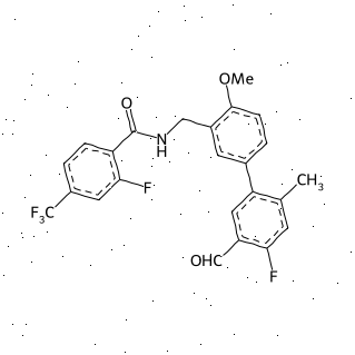 COc1ccc(-c2cc(C=O)c(F)cc2C)cc1CNC(=O)c1ccc(C(F)(F)F)cc1F